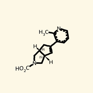 Cc1ncccc1C1=C[C@@H]2CN(C(=O)O)C[C@@H]2C1